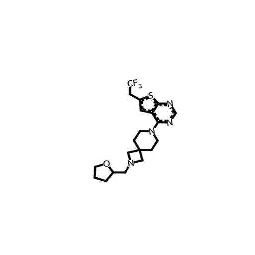 FC(F)(F)Cc1cc2c(N3CCC4(CC3)CN(CC3CCCO3)C4)ncnc2s1